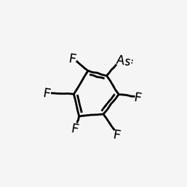 Fc1c(F)c(F)c([As])c(F)c1F